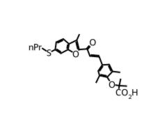 CCCSc1ccc2c(C)c(C(=O)C=Cc3cc(C)c(OC(C)(C)C(=O)O)c(C)c3)oc2c1